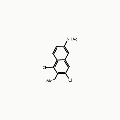 COc1c(Cl)cc2cc(NC(C)=O)ccc2c1Cl